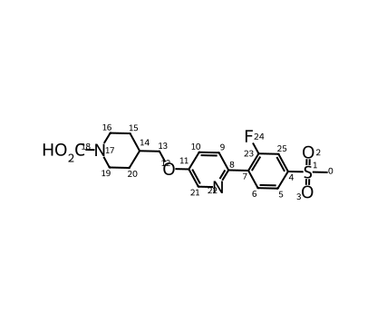 CS(=O)(=O)c1ccc(-c2ccc(OCC3CCN(C(=O)O)CC3)cn2)c(F)c1